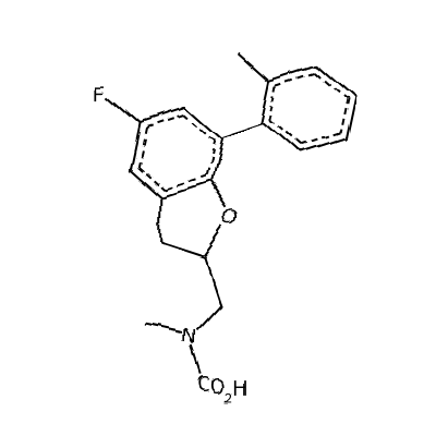 Cc1ccccc1-c1cc(F)cc2c1OC(CN(C)C(=O)O)C2